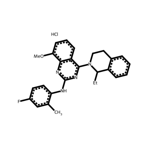 CCC1c2ccccc2CCN1c1nc(Nc2ccc(F)cc2C)nc2c(OC)cccc12.Cl